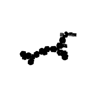 C=C(/C=C(\CC)c1ccc(-c2ccc(N(c3ccc(-c4ccc5c(c4)C(C)(C)c4cc(-c6ccc(C(C)(C)N(c7ccccc7)c7ccc8c(c7)C(C)(C)c7ccccc7-8)cc6)ccc4-5)cc3)c3ccc4c(c3)C(C)(C)c3ccccc3-4)cc2CC)cc1)CCCCCC